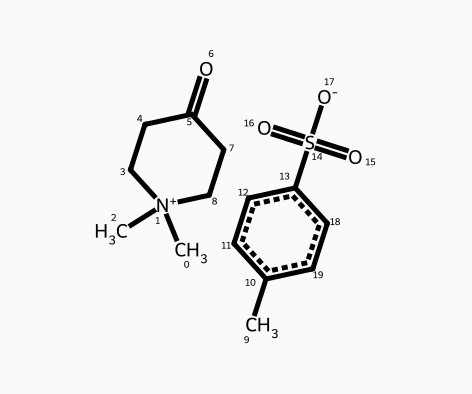 C[N+]1(C)CCC(=O)CC1.Cc1ccc(S(=O)(=O)[O-])cc1